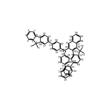 CC1(C)c2ccccc2-c2ccc(-c3ccc(N(c4ccc(-c5ccccc5)cc4)c4cc5ccccc5c5c4-c4cc(-c6ccccc6)ccc4C5(C)C)cc3)cc21